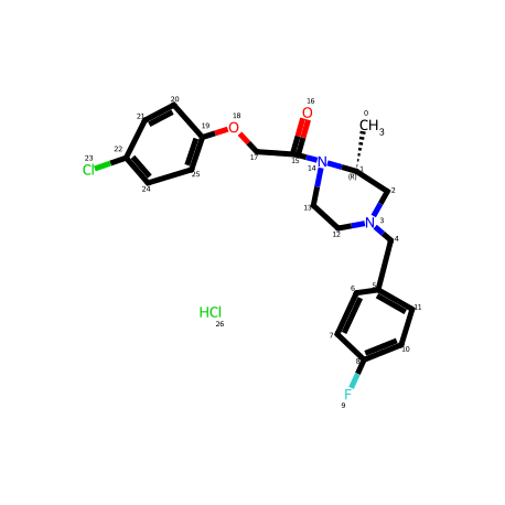 C[C@@H]1CN(Cc2ccc(F)cc2)CCN1C(=O)COc1ccc(Cl)cc1.Cl